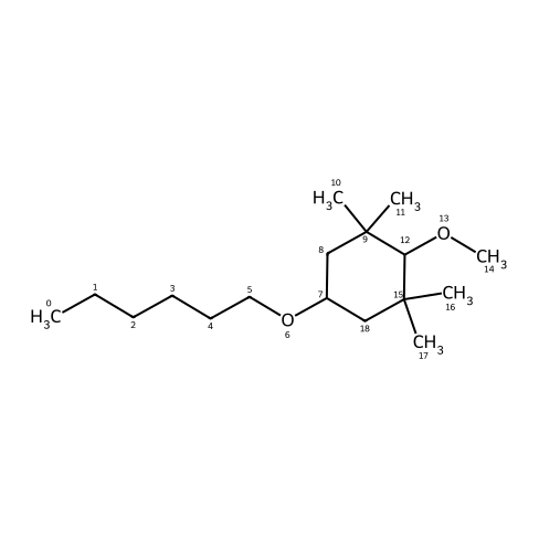 CCCCCCOC1CC(C)(C)C(OC)C(C)(C)C1